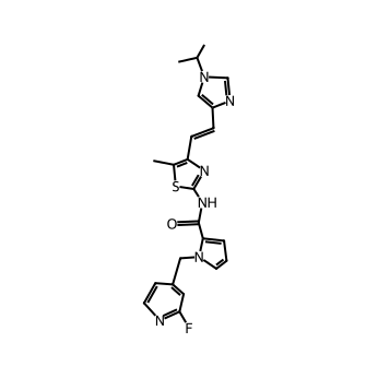 Cc1sc(NC(=O)c2cccn2Cc2ccnc(F)c2)nc1/C=C/c1cn(C(C)C)cn1